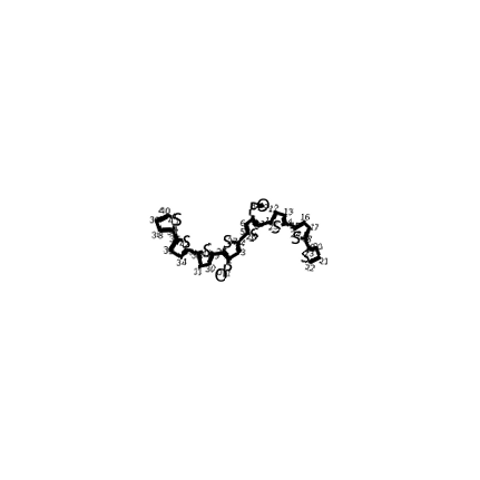 O=Pc1cc(-c2cc(P=O)c(-c3ccc(-c4ccc(-c5cccs5)s4)s3)s2)sc1-c1ccc(-c2ccc(-c3cccs3)s2)s1